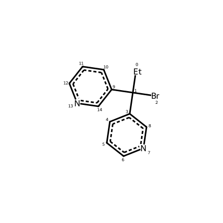 CCC(Br)(c1cccnc1)c1cccnc1